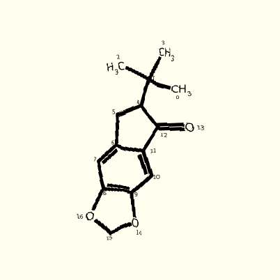 CC(C)(C)C1Cc2cc3c(cc2C1=O)OCO3